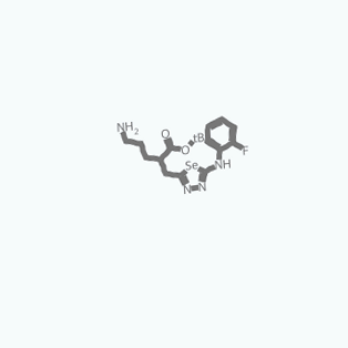 CC(C)(C)OC(=O)C(CCCN)Cc1nnc(Nc2ccccc2F)[se]1